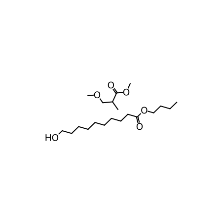 CCCCOC(=O)CCCCCCCCCO.COCC(C)C(=O)OC